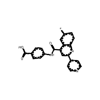 O=C(O)c1ccc(NC(=O)c2cc(-c3ccncc3)nc3ccc(F)cc23)cc1